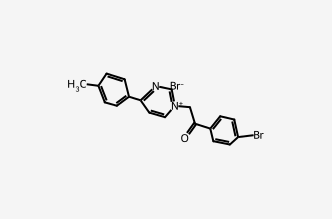 Cc1ccc(-c2cc[n+](CC(=O)c3ccc(Br)cc3)cn2)cc1.[Br-]